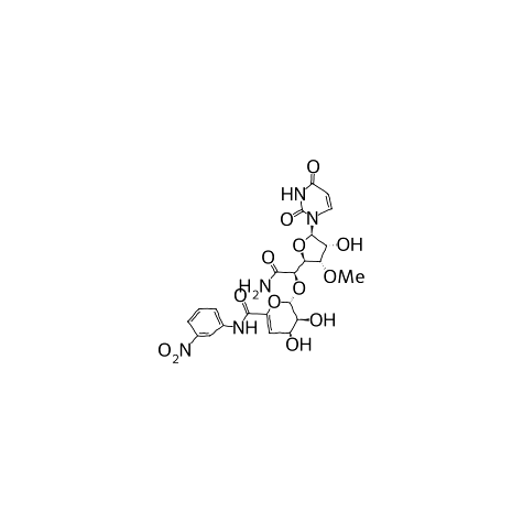 CO[C@H]1[C@@H](O)[C@H](n2ccc(=O)[nH]c2=O)O[C@@H]1[C@@H](O[C@H]1OC(C(=O)Nc2cccc([N+](=O)[O-])c2)=C[C@H](O)[C@@H]1O)C(N)=O